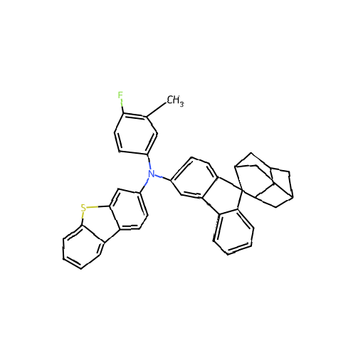 Cc1cc(N(c2ccc3c(c2)-c2ccccc2C32C3CC4CC(C3)CC2C4)c2ccc3c(c2)sc2ccccc23)ccc1F